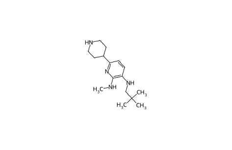 CNc1nc(C2CCNCC2)ccc1NCC(C)(C)C